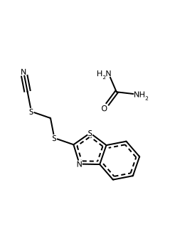 N#CSCSc1nc2ccccc2s1.NC(N)=O